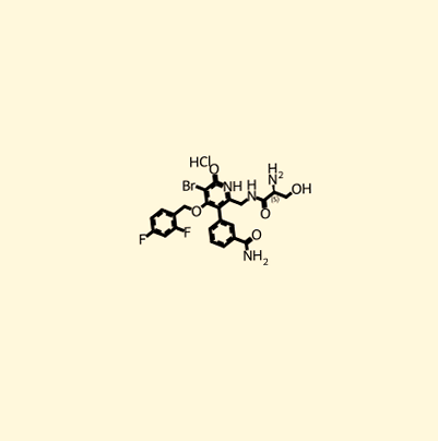 Cl.NC(=O)c1cccc(-c2c(CNC(=O)[C@@H](N)CO)[nH]c(=O)c(Br)c2OCc2ccc(F)cc2F)c1